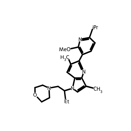 CCC(CN1CCOCC1)n1cc(C)c2nc(-c3ccc(C(C)C)nc3OC)c(C)cc21